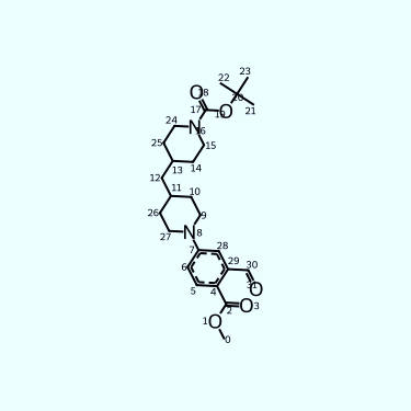 COC(=O)c1ccc(N2CCC(CC3CCN(C(=O)OC(C)(C)C)CC3)CC2)cc1C=O